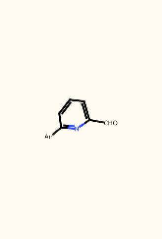 CC(=O)c1cccc(C=O)n1